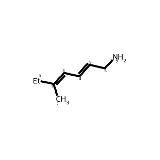 CCC(C)=CC=CCN